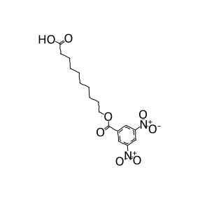 O=C(O)CCCCCCCCCOC(=O)c1cc([N+](=O)[O-])cc([N+](=O)[O-])c1